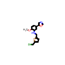 COc1ccc(-c2cnco2)cc1NCc1ccc(CBr)s1